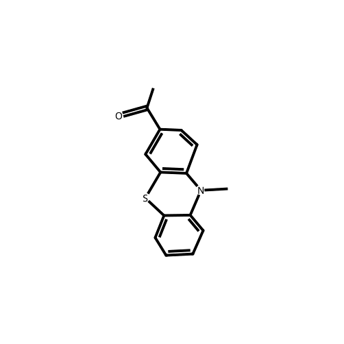 CC(=O)c1ccc2c(c1)Sc1ccccc1N2C